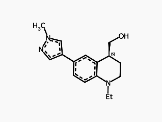 CCN1CC[C@H](CO)c2cc(-c3cnn(C)c3)ccc21